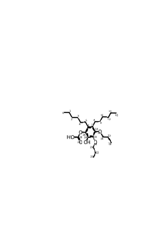 CCCCCCc1c(CCCCCC)c(OCCC)c(OCCC)c(O)c1OC(=O)O